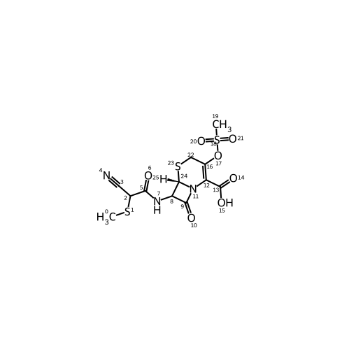 CSC(C#N)C(=O)NC1C(=O)N2C(C(=O)O)=C(OS(C)(=O)=O)CS[C@@H]12